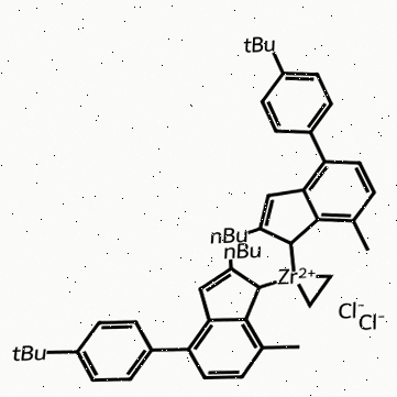 CCCCC1=Cc2c(-c3ccc(C(C)(C)C)cc3)ccc(C)c2[CH]1[Zr+2]1([CH]2C(CCCC)=Cc3c(-c4ccc(C(C)(C)C)cc4)ccc(C)c32)[CH2][CH2]1.[Cl-].[Cl-]